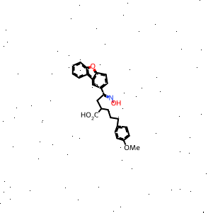 COc1ccc(CCCC(CC(=NO)c2ccc3oc4ccccc4c3c2)C(=O)O)cc1